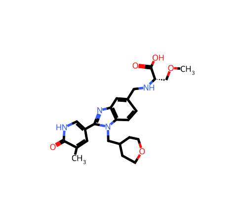 COC[C@H](NCc1ccc2c(c1)nc(-c1c[nH]c(=O)c(C)c1)n2CC1CCOCC1)C(=O)O